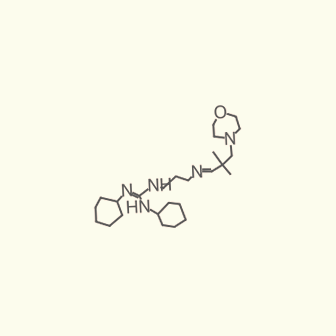 CC(C)(C=NCCCNC(=NC1CCCCC1)NC1CCCCC1)CN1CCOCC1